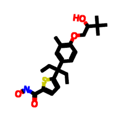 CCC(CC)(c1ccc(OCC(O)C(C)(C)C)c(C)c1)c1ccc(C(=O)N=O)s1